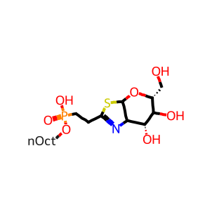 CCCCCCCCOP(=O)(O)CCC1=NC2C(O[C@H](CO)C(O)[C@@H]2O)S1